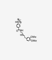 COc1ccc(CCNCCNC(=O)c2ccc(NS(C)(=O)=O)cc2)cc1OC